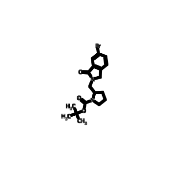 CC(C)(C)OC(=O)N1CCCC1CN1Cc2ccc(Br)cc2C1=O